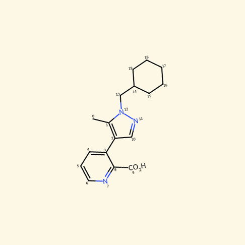 Cc1c(-c2cccnc2C(=O)O)cnn1CC1CCCCC1